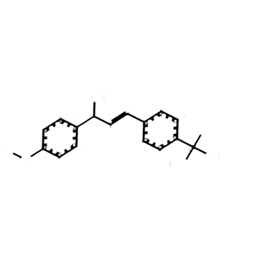 COc1ccc(C(O)C=Cc2ccc(C(C)(C)C)cc2)cc1